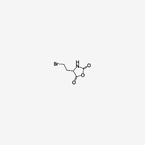 O=C1NC(CCBr)C(=O)O1